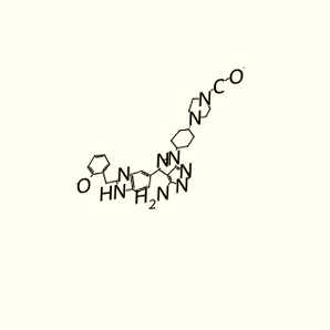 COCCCN1CCN([C@H]2CC[C@H](n3nc(-c4ccc5[nH]c(Cc6ccccc6OC)nc5c4)c4c(N)ncnc43)CC2)CC1